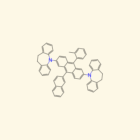 Cc1ccccc1-c1c2ccc(N3c4ccccc4CCc4ccccc43)cc2c(-c2ccc3ccccc3c2)c2ccc(N3c4ccccc4CCc4ccccc43)cc12